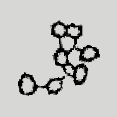 c1ccc(-c2ccnc(-n3c4ccccc4c4c5c(ccc43)-c3cccc4cccc(c34)N5c3ccccc3)c2)cc1